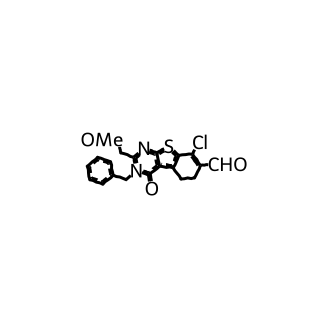 COCc1nc2sc3c(c2c(=O)n1Cc1ccccc1)CCC(C=O)=C3Cl